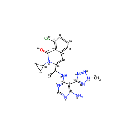 CCC(Nc1ncnc(N)c1-c1nnn(C)n1)c1cc2cccc(Cl)c2c(=O)n1C1CC1